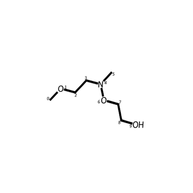 COCCN(C)OCCO